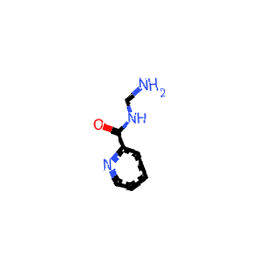 NCNC(=O)c1ccccn1